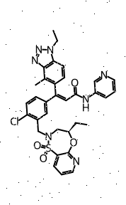 CC[C@@H]1CN(Cc2cc(C(=CC(=O)Nc3cccnc3)c3ccc4c(nnn4CC)c3C)ccc2Cl)S(=O)(=O)c2cccnc2O1